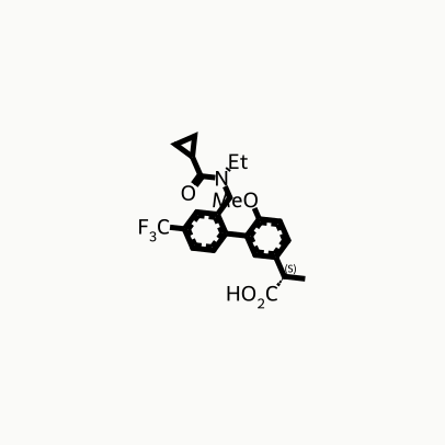 CCN(Cc1cc(C(F)(F)F)ccc1-c1cc([C@H](C)C(=O)O)ccc1OC)C(=O)C1CC1